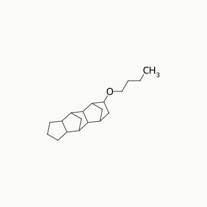 CCCCOC1CC2CC1C1C3CC(C4CCCC43)C21